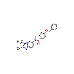 Cc1c(C2CC2)nc2ccc(NC(=O)c3ccc(OCc4ccccc4)cc3)cn12